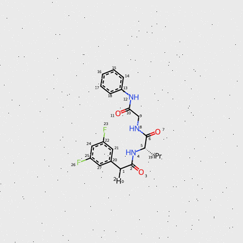 [2H]C(C(=O)N[C@H](C(=O)NCC(=O)Nc1ccccc1)C(C)C)c1cc(F)cc(F)c1